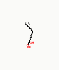 CCCCCCCC/C=C\CCCCCCCC(O)C=COO